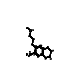 COCCCc1nc2c(cc1N)COCC2